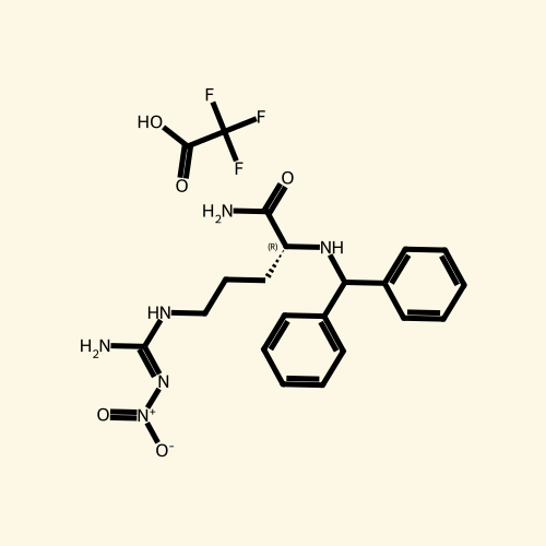 NC(=O)[C@@H](CCCNC(N)=N[N+](=O)[O-])NC(c1ccccc1)c1ccccc1.O=C(O)C(F)(F)F